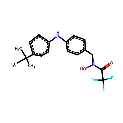 CC(C)(C)c1ccc(Nc2ccc(CN(O)C(=O)C(F)(F)F)cc2)cc1